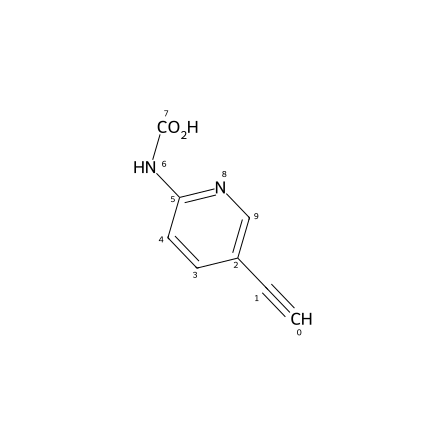 C#Cc1ccc(NC(=O)O)nc1